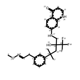 CON=CCc1cccc(C(C)(C)CC(O)(CNc2ccc3c(=O)cc[nH]c3c2)C(F)(F)F)c1